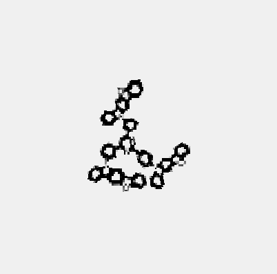 c1cc(-c2cc(-c3cccc(-n4c5ccccc5c5cc6oc7ccccc7c6cc54)c3)nc(-c3ccc(-n4c5ccccc5c5cc6oc7ccccc7c6cc54)cc3)n2)cc(-n2c3ccccc3c3cc4oc5ccccc5c4cc32)c1